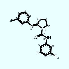 Fc1cccc(N=C2SCCN2C(=S)Nc2cccc(F)c2)c1